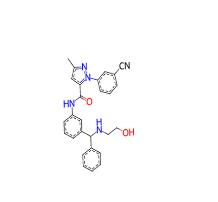 Cc1cc(C(=O)Nc2cccc(C(NCCO)c3ccccc3)c2)n(-c2cccc(C#N)c2)n1